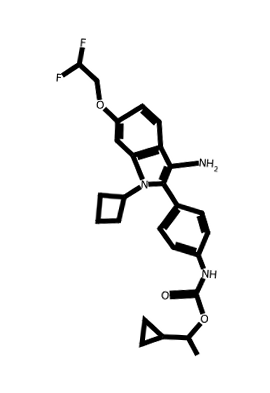 CC(OC(=O)Nc1ccc(-c2c(N)c3ccc(OCC(F)F)cc3n2C2CCC2)cc1)C1CC1